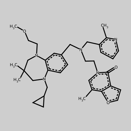 COCCN1CC(C)(C)CN(CC2CC2)c2ccc(CN(CCn3cc(C)c4occc4c3=O)Cc3cccnc3C)cc21